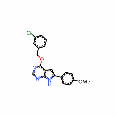 COc1ccc(-c2cc3c(OCc4cccc(Cl)c4)ncnc3[nH]2)cc1